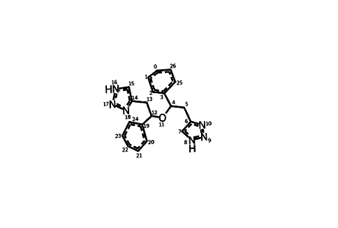 c1ccc(C(Cc2c[nH]nn2)OC(Cc2c[nH]nn2)c2ccccc2)cc1